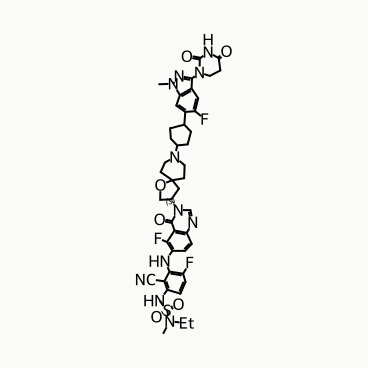 CCN(C)S(=O)(=O)Nc1ccc(F)c(Nc2ccc3ncn([C@@H]4COC5(CCN(C6CCC(c7cc8c(cc7F)c(N7CCC(=O)NC7=O)nn8C)CC6)CC5)C4)c(=O)c3c2F)c1C#N